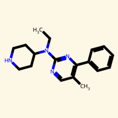 CCN(c1ncc(C)c(-c2ccccc2)n1)C1CCNCC1